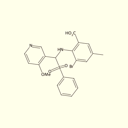 COc1ccncc1C(Nc1c(Br)cc(C)cc1C(=O)O)S(=O)(=O)c1ccccc1